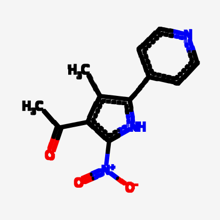 CC(=O)c1c([N+](=O)[O-])[nH]c(-c2ccncc2)c1C